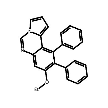 CCOc1cc2ncn3cccc3c2c(-c2ccccc2)c1-c1ccccc1